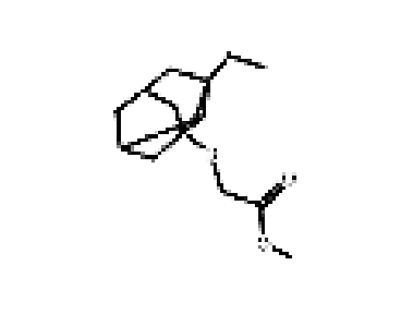 COC(=O)COC12CC3CC(CC(CI)(C3)C1)C2